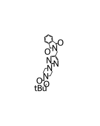 CC(C)(C)OC(=O)N1CCN(c2ncc(CN3C(=O)c4ccccc4C3=O)cn2)CC1